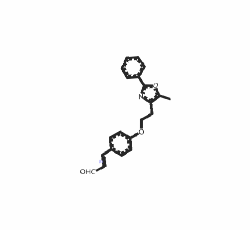 Cc1oc(-c2ccccc2)nc1CCOc1ccc(/C=C/C=O)cc1